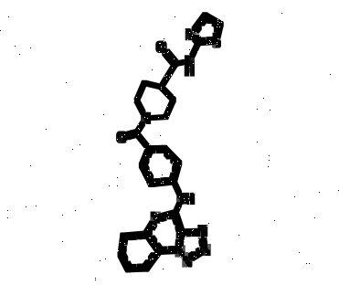 O=C(Nc1nccs1)C1CCN(C(=O)c2ccc(Nc3nc4ccccc4n4nnnc34)cc2)CC1